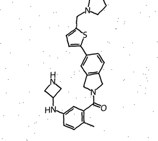 Cc1ccc(NC2CNC2)cc1C(=O)N1Cc2ccc(-c3ccc(CN4CCCC4)s3)cc2C1